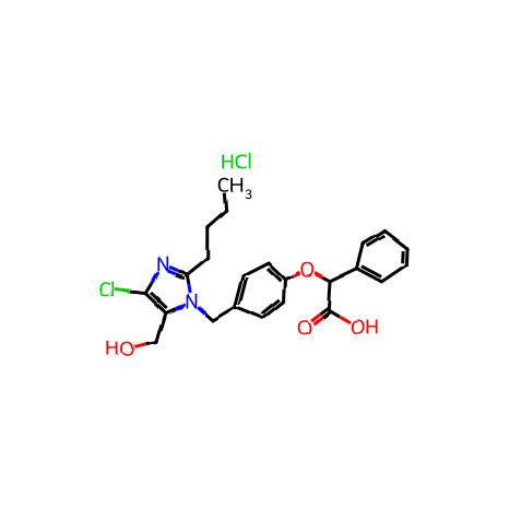 CCCCc1nc(Cl)c(CO)n1Cc1ccc(OC(C(=O)O)c2ccccc2)cc1.Cl